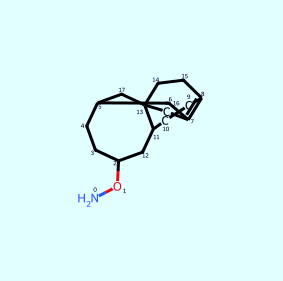 NOC1CCC2CC3=C4CCC(C1)C(CC4)(C3)C2